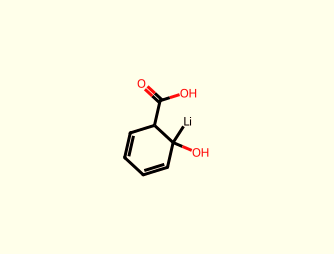 [Li][C]1(O)C=CC=CC1C(=O)O